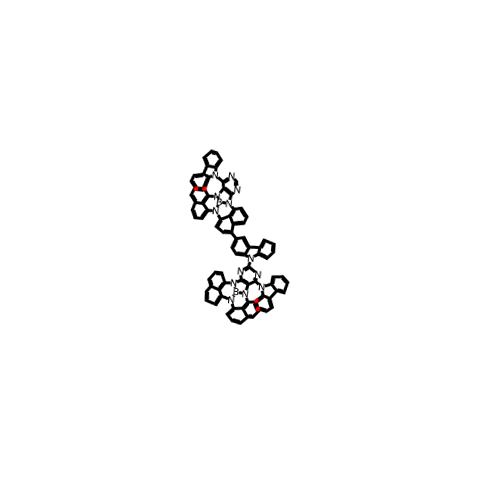 c1cc2c3c(cccc3c1)N1B3N2c2nc(-n4c5ccccc5c5cc(-c6ccc7c8c(cccc68)N6B8N(c9c6ncnc9-n6c9ccccc9c9ccccc96)c6cccc9cccc(c69)N87)ccc54)nc(-n4c5ccccc5c5ccccc54)c2N3c2cccc3cccc1c23